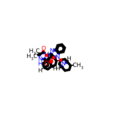 C[C@H]1CC[C@@H]2C[C@H](n3c(=O)c(N4C(=O)NC(C)(C)C4=O)nc4ccccc43)C[C@H]1N2C[C@H]1C[C@H]2CC3=C[C@H](C2)C[C@@H]3C1